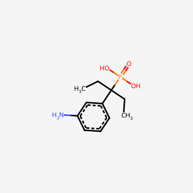 CCC(CC)(c1cccc(N)c1)P(=O)(O)O